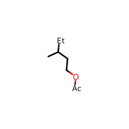 CCC(C)CCOC(C)=O